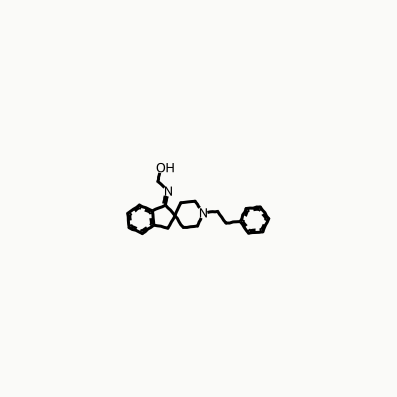 OCN=C1c2ccccc2CC12CCN(CCc1ccccc1)CC2